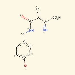 CCC(C(=N)C(=O)O)C(=O)NCc1ccc(Br)cc1